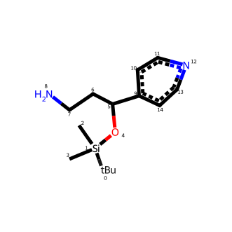 CC(C)(C)[Si](C)(C)OC(CCN)c1ccncc1